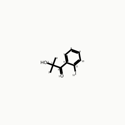 CC(C)(O)C(=O)c1ccccc1I